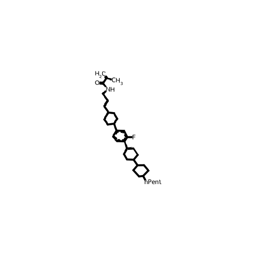 C=C(C)C(=O)NCCCC1CCC(c2ccc(C3CCC(C4CCC(CCCCC)CC4)CC3)c(F)c2)CC1